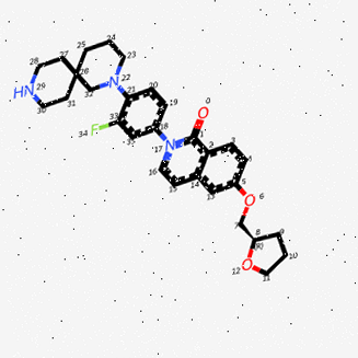 O=c1c2ccc(OC[C@H]3CCCO3)cc2ccn1-c1ccc(N2CCCC3(CCNCC3)C2)c(F)c1